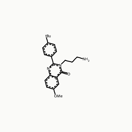 COc1ccc2nc(-c3ccc(C(C)(C)C)cc3)n(CCCN)c(=O)c2c1